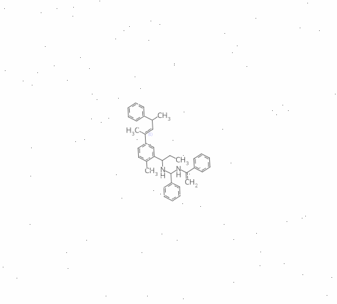 C=C(NC(NC(CC)c1cc(/C(C)=C/C(C)c2ccccc2)ccc1C)c1ccccc1)c1ccccc1